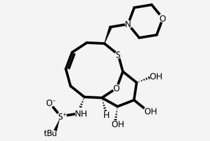 CC(C)(C)[S@@+]([O-])N[C@@H]1C/C=C\C[C@@H](CN2CCOCC2)SC2O[C@H]1[C@@H](O)C(O)[C@H]2O